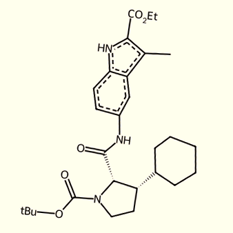 CCOC(=O)c1[nH]c2ccc(NC(=O)[C@@H]3[C@H](C4CCCCC4)CCN3C(=O)OC(C)(C)C)cc2c1C